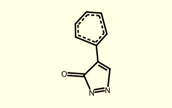 O=C1N=NC=C1c1ccccc1